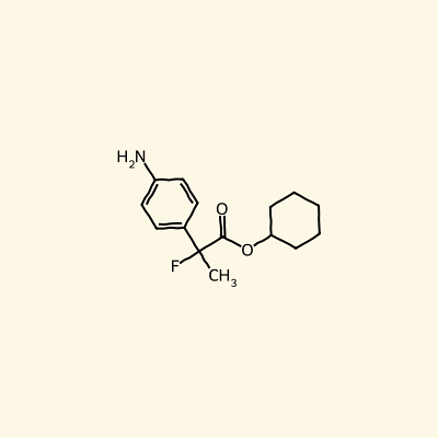 CC(F)(C(=O)OC1CCCCC1)c1ccc(N)cc1